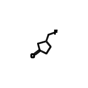 O=C1CCC(CF)C1